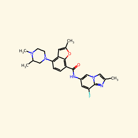 Cc1cn2cc(NC(=O)c3ccc(N4CCN(C)C(C)C4)c4cc(C)oc34)cc(F)c2n1